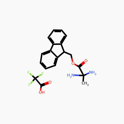 CC(N)(N)C(=O)OCC1c2ccccc2-c2ccccc21.O=C(O)C(F)(F)F